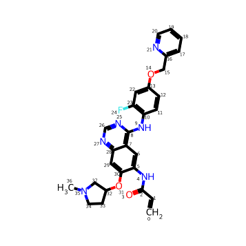 C=CC(=O)Nc1cc2c(Nc3ccc(OCc4ccccn4)cc3F)ncnc2cc1OC1CCN(C)C1